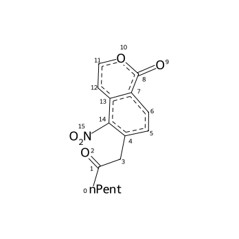 CCCCCC(=O)Cc1ccc2c(=O)occc2c1[N+](=O)[O-]